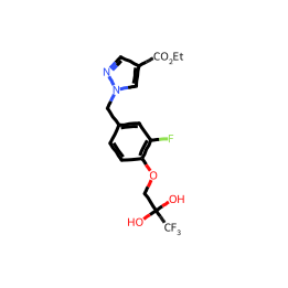 CCOC(=O)c1cnn(Cc2ccc(OCC(O)(O)C(F)(F)F)c(F)c2)c1